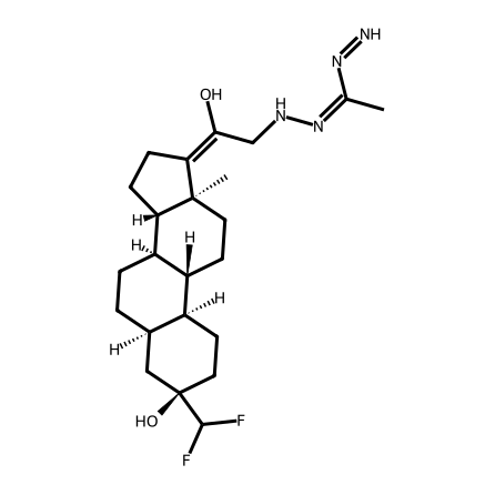 C/C(N=N)=N/NC/C(O)=C1/CC[C@H]2[C@@H]3CC[C@@H]4C[C@@](O)(C(F)F)CC[C@@H]4[C@H]3CC[C@]12C